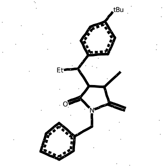 C=C1C(C)C(C(CC)c2ccc(C(C)(C)C)cc2)C(=O)N1Cc1ccccc1